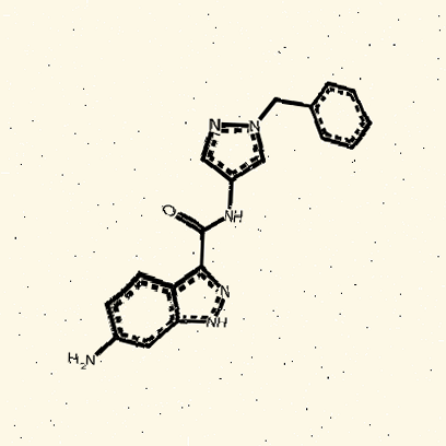 Nc1ccc2c(C(=O)Nc3cnn(Cc4ccccc4)c3)n[nH]c2c1